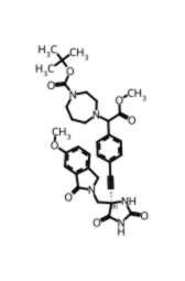 COC(=O)C(c1ccc(C#C[C@]2(CN3Cc4ccc(OC)cc4C3=O)NC(=O)NC2=O)cc1)N1CCCN(C(=O)OC(C)(C)C)CC1